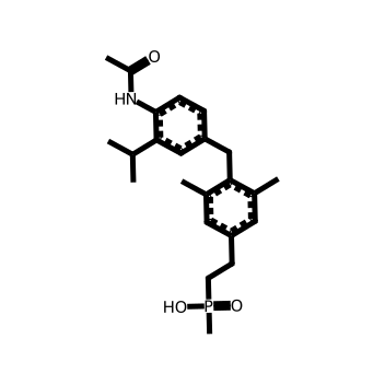 CC(=O)Nc1ccc(Cc2c(C)cc(CCP(C)(=O)O)cc2C)cc1C(C)C